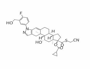 C[C@]12Cc3cnn(-c4ccc(F)c(CO)c4)c3C=C1CC[C@@H]1[C@@H]2[C@@H](O)C[C@@]2(C)[C@H]1CC[C@]2(OC(=O)C1CC1)C(=O)SCC#N